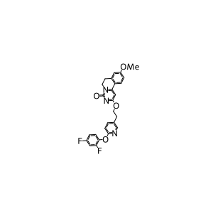 COc1ccc2c(c1)CCn1c-2cc(OCCc2ccc(Oc3ccc(F)cc3F)nc2)nc1=O